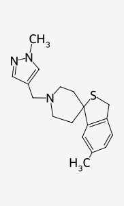 Cc1ccc2c(c1)C1(CCN(Cc3cnn(C)c3)CC1)SC2